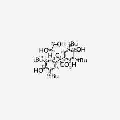 CC(C)(C)c1cc(C(C)(C(=O)O)c2cc(C(C)(C)C)c(O)c(C(C)(C)C)c2)cc(C(C)(C)C)c1O.OCCO